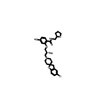 O=C(NCC1CCCO1)c1ccc(O)cc1OC[C@H](O)CN1CCC2(CC1)Cc1cc(Cl)ccc1O2